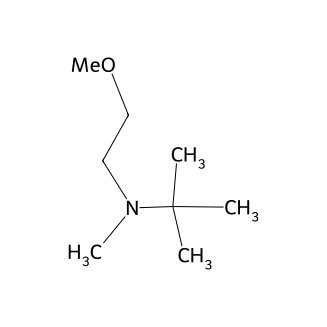 COCCN(C)C(C)(C)C